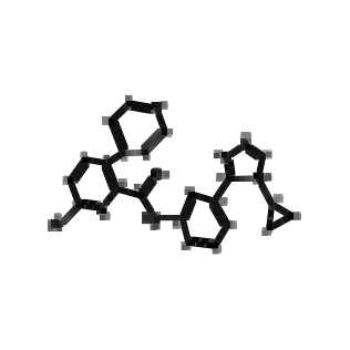 CC(C)c1ccc(-c2ccncc2)c(C(=O)Nc2cccc(-c3nncn3C3CC3)c2)n1